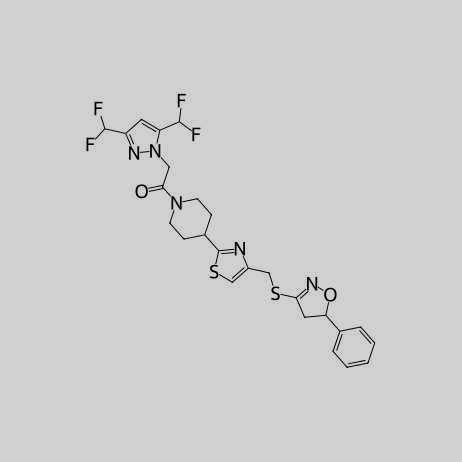 O=C(Cn1nc(C(F)F)cc1C(F)F)N1CCC(c2nc(CSC3=NOC(c4ccccc4)C3)cs2)CC1